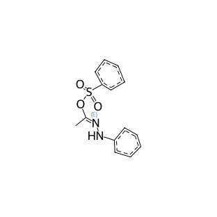 C/C(=N\Nc1ccccc1)OS(=O)(=O)c1ccccc1